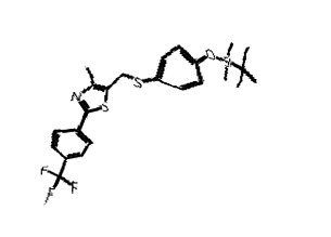 Cc1nc(-c2ccc(C(F)(F)F)cc2)sc1CSc1ccc(O[Si](C)(C)C(C)(C)C)cc1